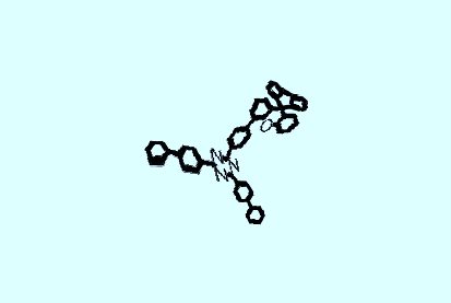 c1ccc(-c2ccc(-c3nc(-c4ccc(-c5ccccc5)cc4)nc(-c4ccc(-c5cccc6c5Oc5ccccc5C65c6ccccc6-c6ccccc65)cc4)n3)cc2)cc1